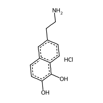 Cl.NCCc1ccc2c(O)c(O)ccc2c1